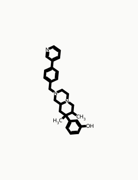 CC1CN2CCN(Cc3ccc(-c4cccnc4)cc3)CC2CC1(C)c1cccc(O)c1